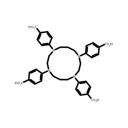 CCOC(=O)c1ccc(N2CCCN(c3ccc(C(=O)OCC)cc3)CCN(c3ccc(C(=O)OCC)cc3)CCCN(c3ccc(C(=O)OCC)cc3)CC2)cc1